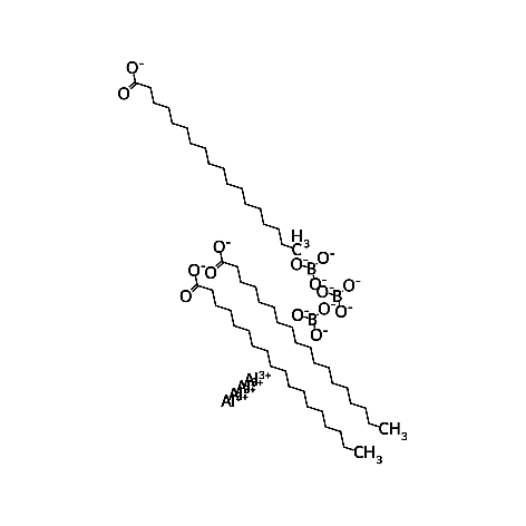 CCCCCCCCCCCCCCCCCC(=O)[O-].CCCCCCCCCCCCCCCCCC(=O)[O-].CCCCCCCCCCCCCCCCCC(=O)[O-].[Al+3].[Al+3].[Al+3].[Al+3].[O-]B([O-])[O-].[O-]B([O-])[O-].[O-]B([O-])[O-]